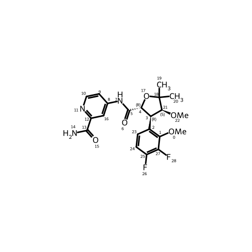 COc1c([C@H]2[C@H](C(=O)Nc3ccnc(C(N)=O)c3)OC(C)(C)[C@H]2OC)ccc(F)c1F